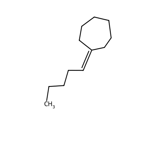 CCCCC=C1CCCCCC1